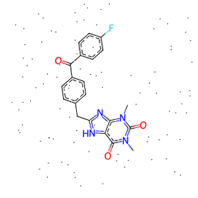 Cn1c(=O)c2[nH]c(Cc3ccc(C(=O)c4ccc(F)cc4)cc3)nc2n(C)c1=O